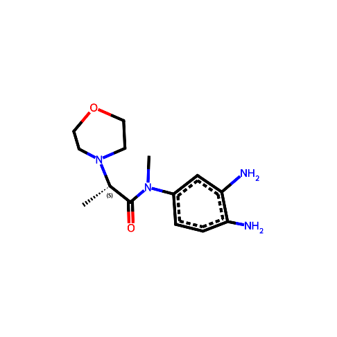 C[C@@H](C(=O)N(C)c1ccc(N)c(N)c1)N1CCOCC1